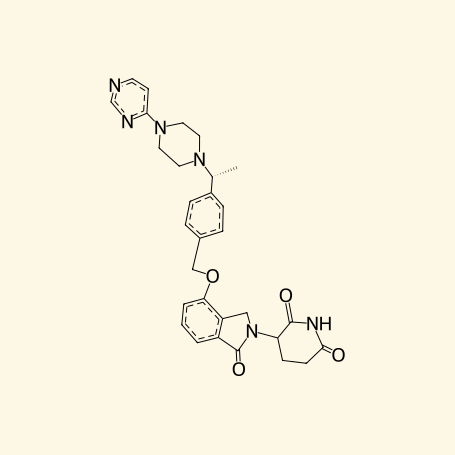 C[C@H](c1ccc(COc2cccc3c2CN(C2CCC(=O)NC2=O)C3=O)cc1)N1CCN(c2ccncn2)CC1